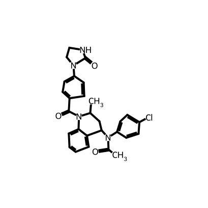 CC(=O)N(c1ccc(Cl)cc1)C1CC(C)N(C(=O)c2ccc(N3CCNC3=O)cc2)c2ccccc21